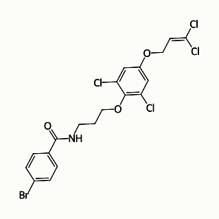 O=C(NCCCOc1c(Cl)cc(OCC=C(Cl)Cl)cc1Cl)c1ccc(Br)cc1